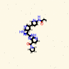 CCC(=O)Nc1ccc(-c2cnc3[nH]nc(-c4nc5c(C(=O)N6CCCC6)ccnc5[nH]4)c3c2)cn1